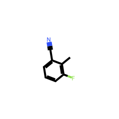 Cc1c(F)cccc1C#N